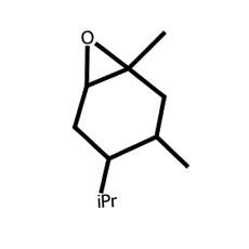 CC(C)C1CC2OC2(C)CC1C